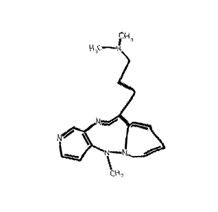 CN(C)CCCC1=Nc2cnccc2N(C)n2cccc21